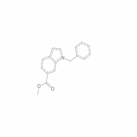 COC(=O)c1ccc2ccn(Cc3ccccc3)c2c1